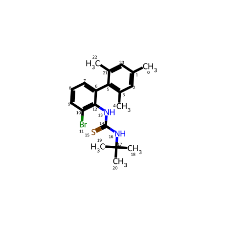 Cc1cc(C)c(-c2cccc(Br)c2NC(=S)NC(C)(C)C)c(C)c1